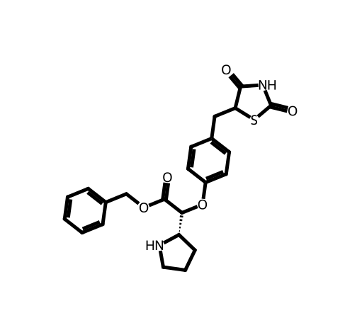 O=C1NC(=O)C(Cc2ccc(OC(C(=O)OCc3ccccc3)[C@@H]3CCCN3)cc2)S1